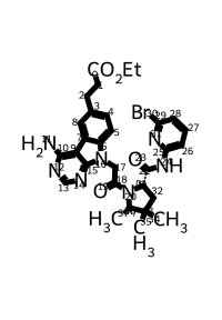 CCOC(=O)CCc1ccc2c(c1)c1c(N)ncnc1n2CC(=O)N1[C@H](C(=O)Nc2cccc(Br)n2)CC(C)(C)[C@H]1C